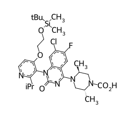 CC(C)c1nccc(OCCO[Si](C)(C)C(C)(C)C)c1-n1c(=O)nc(N2C[C@@H](C)N(C(=O)O)C[C@@H]2C)c2cc(F)c(Cl)cc21